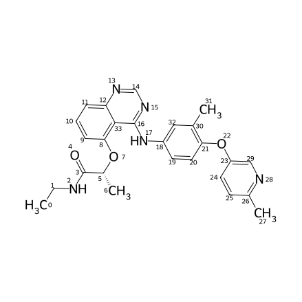 CCNC(=O)[C@@H](C)Oc1cccc2ncnc(Nc3ccc(Oc4ccc(C)nc4)c(C)c3)c12